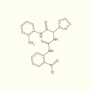 Cc1ccccc1NC(=O)C(NC(=S)Nc1ccccc1[N+](=O)[O-])c1ccsc1